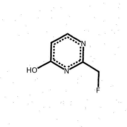 Oc1ccnc(CF)n1